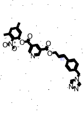 CC1=CC(OC(=O)c2cncc(C(=O)OC/C=C/c3ccc(Cn4cnnc4)cc3)c2)C([N+](=O)[O-])=C(C)C1